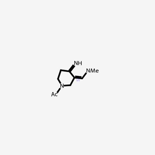 CN/C=C1/CN(C(C)=O)CCC1=N